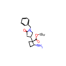 CC(C)(C)OC(=O)C1(C2CC(=O)N(Cc3ccccc3)C2)CCC1N